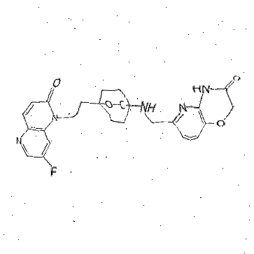 O=C1COc2ccc(CNC34CCC(CCn5c(=O)ccc6ncc(F)cc65)(CC3)OC4)nc2N1